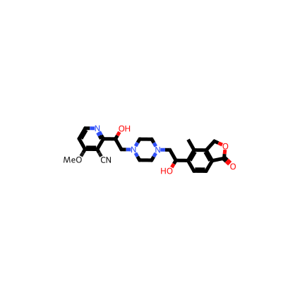 COc1ccnc(C(O)CN2CCN(CC(O)c3ccc4c(c3C)COC4=O)CC2)c1C#N